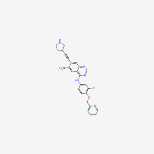 O=[N+]([O-])c1cc2c(Nc3ccc(OCc4ccccn4)c(Cl)c3)ncnc2cc1C#CC1CCNC1